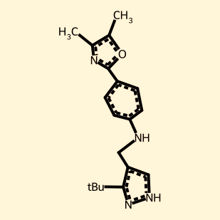 Cc1nc(-c2ccc(NCc3c[nH]nc3C(C)(C)C)cc2)oc1C